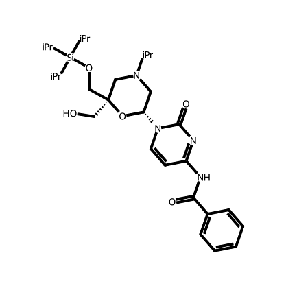 CC(C)N1C[C@H](n2ccc(NC(=O)c3ccccc3)nc2=O)O[C@@](CO)(CO[Si](C(C)C)(C(C)C)C(C)C)C1